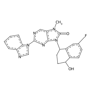 Cn1c(=O)n(C2CCC(O)c3ccc(F)cc32)c2nc(-n3cnc4ccccc43)ncc21